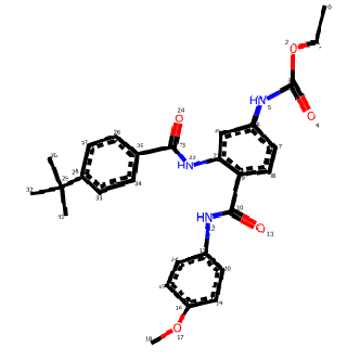 CCOC(=O)Nc1ccc(C(=O)Nc2ccc(OC)cc2)c(NC(=O)c2ccc(C(C)(C)C)cc2)c1